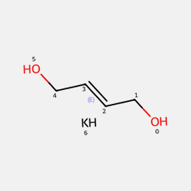 OC/C=C/CO.[KH]